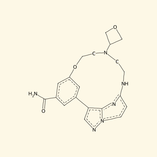 NC(=O)c1cc2cc(c1)-c1cnn3ccc(nc13)NCCN(C1COC1)CCO2